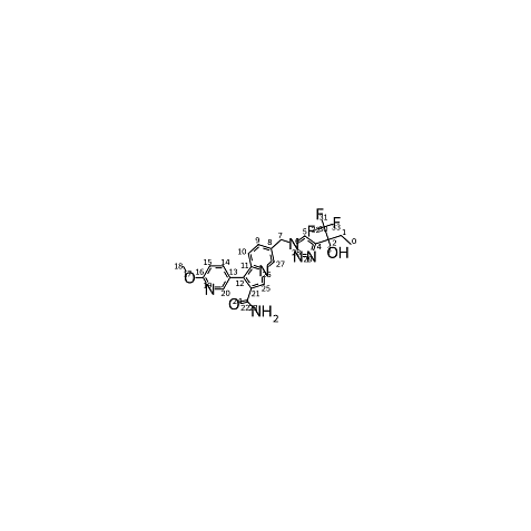 CCC(O)(c1cn(Cc2ccc3c(-c4ccc(OC)nc4)c(C(N)=O)cn3c2)nn1)C(F)(F)F